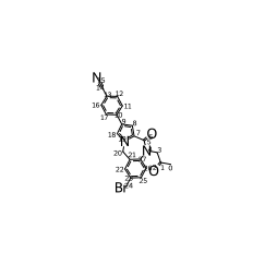 CC(=O)CN1C(=O)c2cc(-c3ccc(C#N)cc3)cn2Cc2cc(Br)ccc21